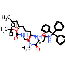 CCCCCCCC(=O)N[C@H](CC(=O)NC(c1ccccc1)(c1ccccc1)c1ccccc1)C(=O)N(C)CCNC(=O)OC(C)(C)C